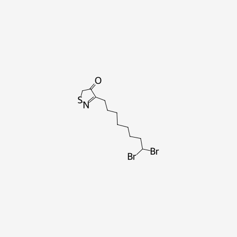 O=C1CSN=C1CCCCCCCC(Br)Br